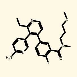 CCc1nccc(-c2ccc(F)c(C(=O)N(C)CCCOC)c2)c1-c1ccc(N)nc1